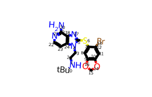 CC(C)(C)NCCn1c(Sc2cc3c(cc2Br)OCO3)nc2c(N)nccc21